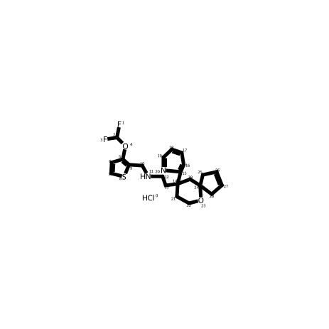 Cl.FC(F)Oc1ccsc1CNCCC1(c2ccccn2)CCOC2(CC=CC2)C1